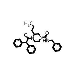 CCCC1CN(C(=O)NCc2ccccc2)CCN1C(=O)C(c1ccccc1)c1ccccc1